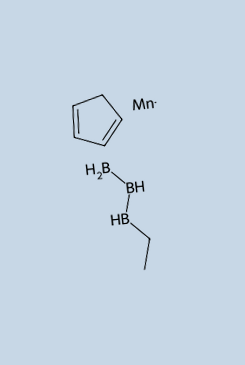 BBBCC.C1=CCC=C1.[Mn]